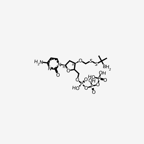 BC(C)(C)SSCO[C@@H]1C[C@H](n2ccc(N)nc2=O)OC1COP(=O)(O)OP(=O)(O)OP(=O)(O)O